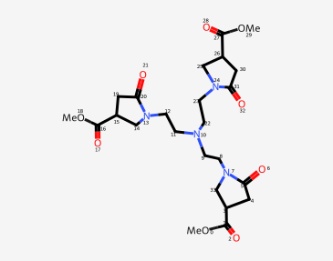 COC(=O)C1CC(=O)N(CCN(CCN2CC(C(=O)OC)CC2=O)CCN2CC(C(=O)OC)CC2=O)C1